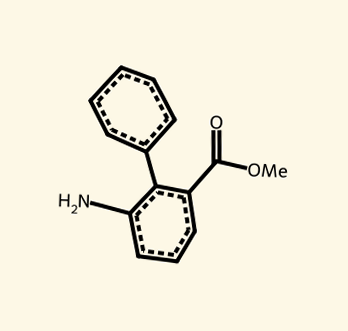 COC(=O)c1cccc(N)c1-c1ccccc1